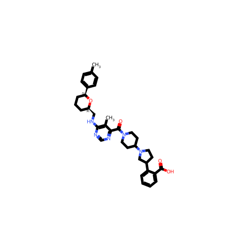 Cc1ccc([C@@H]2CCC[C@H](CNc3ncnc(C(=O)N4CCC(N5CCC(c6ccccc6C(=O)O)C5)CC4)c3C)O2)cc1